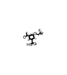 CC(=O)c1cc(OCC(F)F)cc(C(=O)O)c1